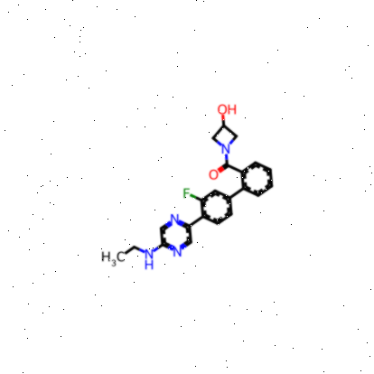 CCNc1cnc(-c2ccc(-c3ccccc3C(=O)N3CC(O)C3)cc2F)cn1